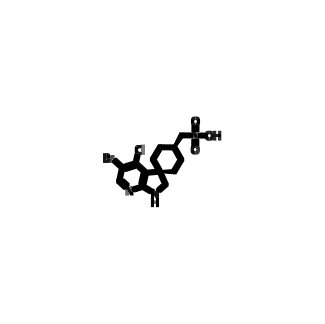 O=S(=O)(O)C[C@H]1CC[C@@]2(CC1)CNc1ncc(Br)c(Cl)c12